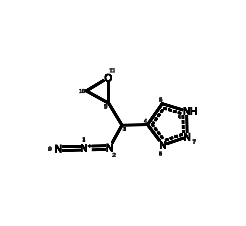 [N-]=[N+]=NC(c1c[nH]nn1)C1CO1